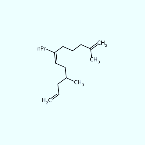 C=CCC(C)CC=C(CCC)CCCC(=C)C